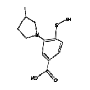 CC1CCN(c2cc(C(=O)O)ccc2SS)C1